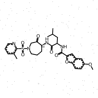 COc1ccc2oc(C(=O)NC(CC(C)C)C(=O)N[C@H]3CCCN(S(=O)(=O)c4ncccc4C)CC3=O)cc2c1